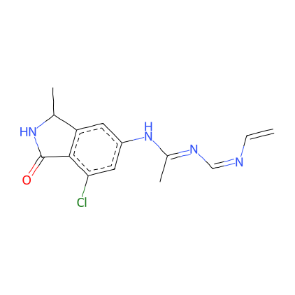 C=C/N=C\N=C(/C)Nc1cc(Cl)c2c(c1)C(C)NC2=O